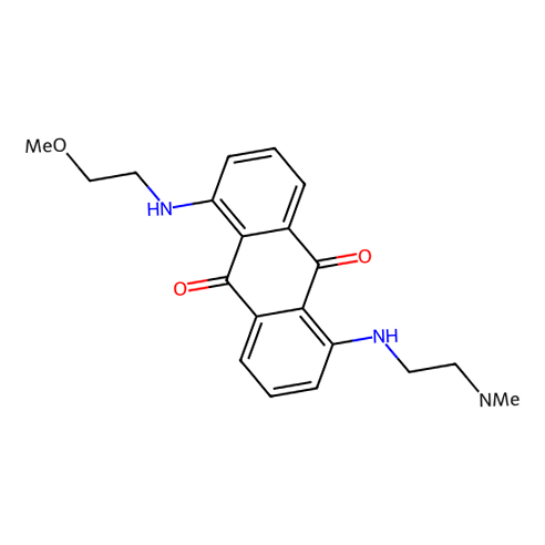 CNCCNc1cccc2c1C(=O)c1cccc(NCCOC)c1C2=O